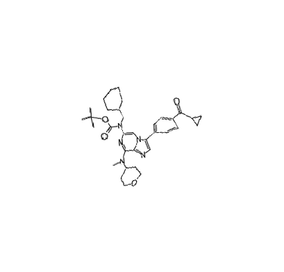 CN(c1nc(N(CC2CCCCC2)C(=O)OC(C)(C)C)cn2c(-c3ccc(C(=O)C4CC4)cc3)cnc12)C1CCOCC1